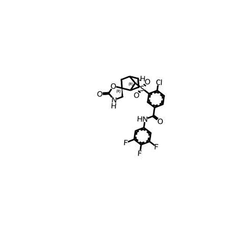 O=C1NC[C@]2(CC3CCC2[C@@H]3S(=O)(=O)c2cc(C(=O)Nc3cc(F)c(F)c(F)c3)ccc2Cl)O1